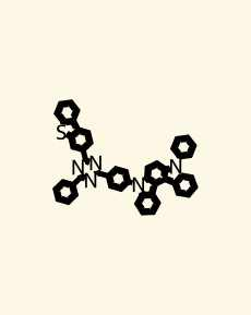 c1ccc(-c2nc(-c3ccc(-n4c5ccccc5c5c6c7ccccc7n(-c7ccccc7)c6ccc54)cc3)nc(-c3ccc4c(c3)sc3ccccc34)n2)cc1